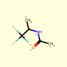 [CH2]C(NC(C)=O)C(F)(F)F